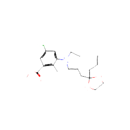 CCCC1(CCCN(CC)c2cc(Cl)cc(C(=O)OC)c2C)OCCO1